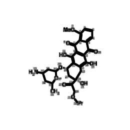 COc1cccc2c1C(=O)c1c(O)c3c(c(O)c1C2=O)C[C@@](O)(C(=O)COC(C)C)C[C@@H]3OC1CC(N)CC(C)O1